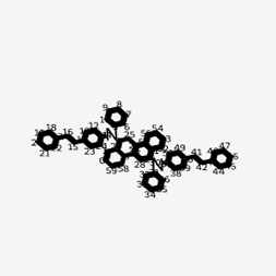 C1=CC2=C(N(c3ccccc3)c3ccc(C=Cc4ccccc4)cc3)Cc3c(cc(N(c4ccccc4)c4ccc(C=Cc5ccccc5)cc4)c4ccccc34)C2C=C1